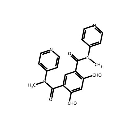 CN(C(=O)c1cc(C(=O)N(C)c2ccncc2)c(C=O)cc1C=O)c1ccncc1